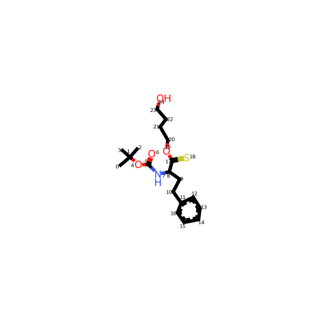 CC(C)(C)OC(=O)NC(CCc1ccccc1)C(=S)OCCCCO